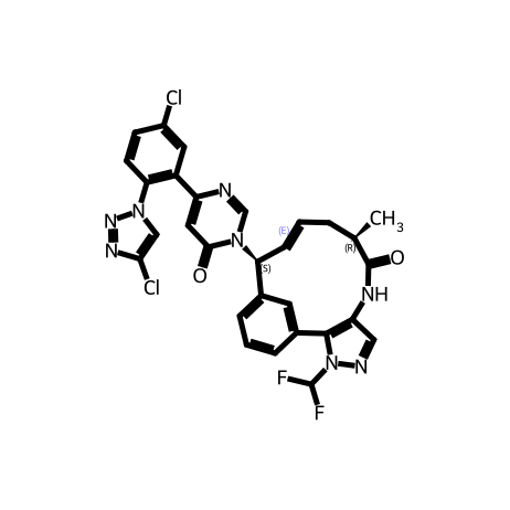 C[C@@H]1C/C=C/[C@H](n2cnc(-c3cc(Cl)ccc3-n3cc(Cl)nn3)cc2=O)c2cccc(c2)-c2c(cnn2C(F)F)NC1=O